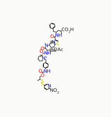 CCC(C)C(NC(=O)[C@H]1CCCC[N+]1(C)Cc1ccc(NC(=O)OCC(C)SSc2ccc([N+](=O)[O-])nc2)cc1)C(=O)N(C)C(CC(OC(C)=O)c1nc(C(=O)NC(Cc2ccccc2)CC(C)C(=O)O)cs1)C(C)C